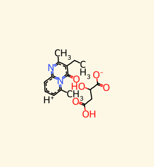 CCc1c(C)nc2cccc(C)n2c1=O.O=C(O)CC(O)C(=O)[O-].[H+]